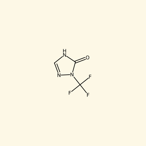 O=c1[nH]cnn1C(F)(F)F